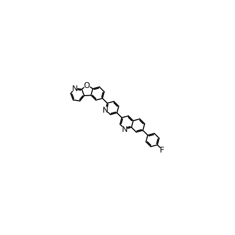 Fc1ccc(-c2ccc3cc(-c4ccc(-c5ccc6oc7ncccc7c6c5)nc4)cnc3c2)cc1